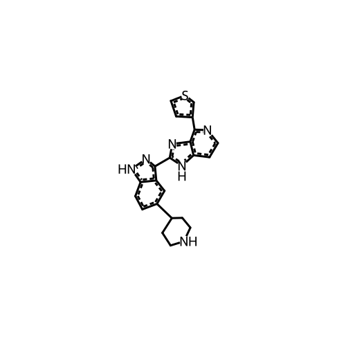 c1cc2[nH]c(-c3n[nH]c4ccc(C5CCNCC5)cc34)nc2c(-c2ccsc2)n1